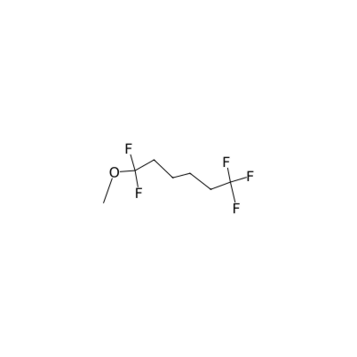 COC(F)(F)CCCCC(F)(F)F